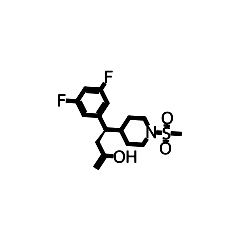 C=C(O)C[C@@H](c1cc(F)cc(F)c1)C1CCN(S(C)(=O)=O)CC1